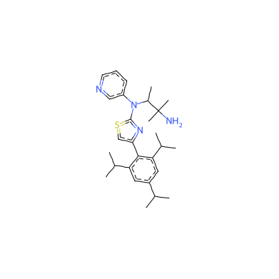 CC(C)c1cc(C(C)C)c(-c2csc(N(c3cccnc3)C(C)C(C)(C)N)n2)c(C(C)C)c1